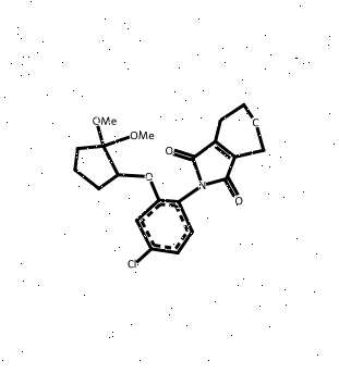 COC1(OC)CCCC1Oc1cc(Cl)ccc1N1C(=O)C2=C(CCCC2)C1=O